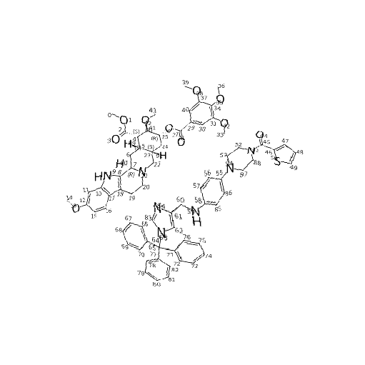 COC(=O)[C@H]1[C@H]2C[C@@H]3c4[nH]c5cc(OC)ccc5c4CCN3C[C@H]2C[C@@H](OC(=O)c2cc(OC)c(OC)c(OC)c2)[C@@H]1OC.O=C(c1cccs1)N1CCN(c2ccc(NCc3cn(C(c4ccccc4)(c4ccccc4)c4ccccc4)cn3)cc2)CC1